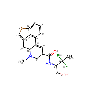 CN1CC(C(=O)NC(CO)C(C)(F)F)C=C2c3cccc4scc(c34)CC21